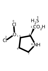 ClOCl.O=C(O)[C@@H]1CCCN1.S